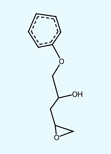 OC(COc1ccccc1)CC1CO1